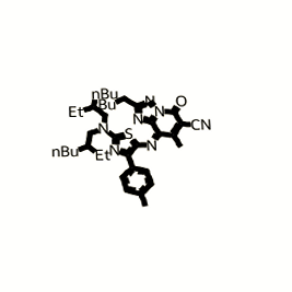 CCCCC(CC)CN(CC(CC)CCCC)c1nc(-c2ccc(C)cc2)c(/N=C2/C(C)=C(C#N)C(=O)n3nc(CC(C)(C)C)nc32)s1